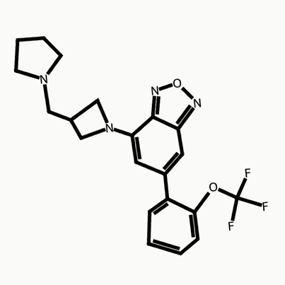 FC(F)(F)Oc1ccccc1-c1cc(N2CC(CN3CCCC3)C2)c2nonc2c1